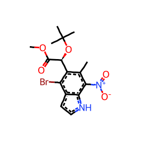 COC(=O)[C@@H](OC(C)(C)C)c1c(C)c([N+](=O)[O-])c2[nH]ccc2c1Br